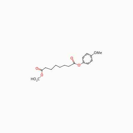 COc1ccc(OC(=O)CCCCCCC(=O)OC(=O)O)cc1